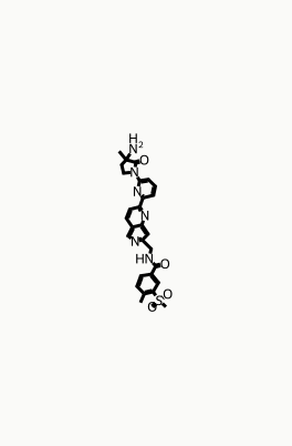 Cc1ccc(C(=O)NCc2cc3nc(-c4cccc(N5CCC(C)(N)C5=O)n4)ccc3cn2)cc1S(C)(=O)=O